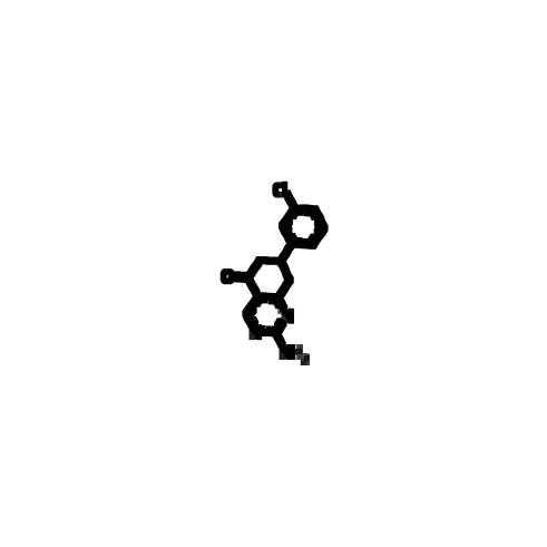 Nc1ncc2c(n1)CC(c1cccc(Cl)c1)CC2=O